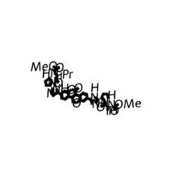 COC(=O)NC(C(=O)N1CCC[C@H]1c1ncc(-c2ccc3c(c2)OCc2c-3c(=O)oc3cc(-c4cnc([C@@H]5CCCN5C(=O)[C@@H](NC(=O)OC)C(C)C)[nH]4)ccc23)[nH]1)C(C)C